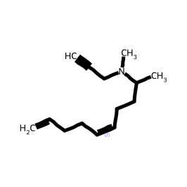 C#CCN(C)C(C)CC/C=C\CCC=C